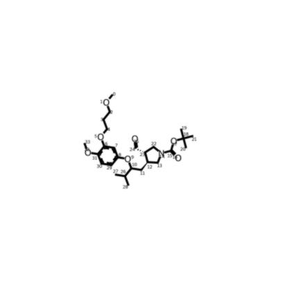 COCCCOc1cc(OC(C[C@@H]2CN(C(=O)OC(C)(C)C)C[C@H]2C=O)C(C)C)ccc1OC